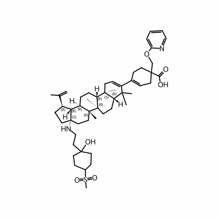 C=C(C)[C@@H]1CC[C@]2(NCCC3(O)CCC(S(C)(=O)=O)CC3)CC[C@]3(C)[C@H](CC[C@@H]4[C@@]5(C)CC=C(C6=CCC(COc7ccccn7)(C(=O)O)CC6)C(C)(C)[C@@H]5CC[C@]43C)[C@@H]12